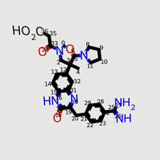 CN(CC(C)(C(=O)N1CCCC1)c1ccc2[nH]c(=O)c(Cc3ccc(C(=N)N)cc3)nc2c1)C(=O)CC(=O)O